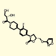 O=C([C@@H](O)CO)N1CC=C(c2ccc(N3C[C@H](COc4ccon4)OC3=O)cc2F)CC1